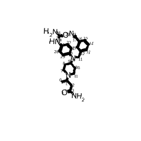 CC(CC(N)=O)N1CCC(N(Cc2cccc(C#N)c2)c2ccc(NC(N)=O)cc2)CC1